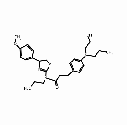 CCCN(C(=O)CCc1ccc(N(CCC)CCC)cc1)C1=NC(c2ccc(OC)cc2)CS1